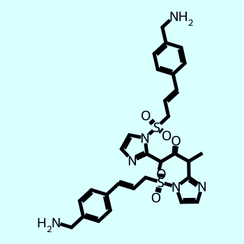 CC(C(=O)C(C)c1nccn1S(=O)(=O)CC=Cc1ccc(CN)cc1)c1nccn1S(=O)(=O)CC=Cc1ccc(CN)cc1